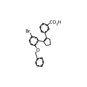 O=C(O)c1cccc(C2=C(c3cc(Br)ccc3OCc3ccccc3)CCC2)c1